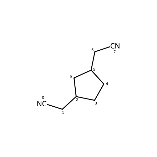 N#CCC1CCC(CC#N)C1